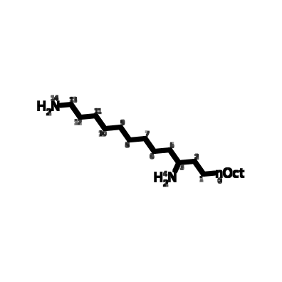 CCCCCCCCCCC(N)CCCCCCCCCN